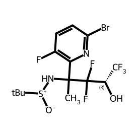 CC(C)(C)[S+]([O-])NC(C)(c1nc(Br)ccc1F)C(F)(F)[C@@H](O)C(F)(F)F